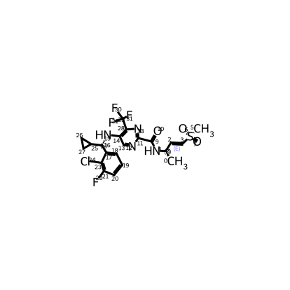 C[C@H](/C=C/S(C)(=O)=O)NC(=O)c1ncc(N[C@H](c2cccc(F)c2Cl)C2CC2)c(C(F)(F)F)n1